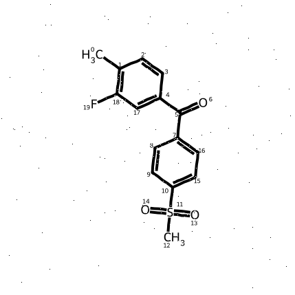 Cc1ccc(C(=O)c2ccc(S(C)(=O)=O)cc2)cc1F